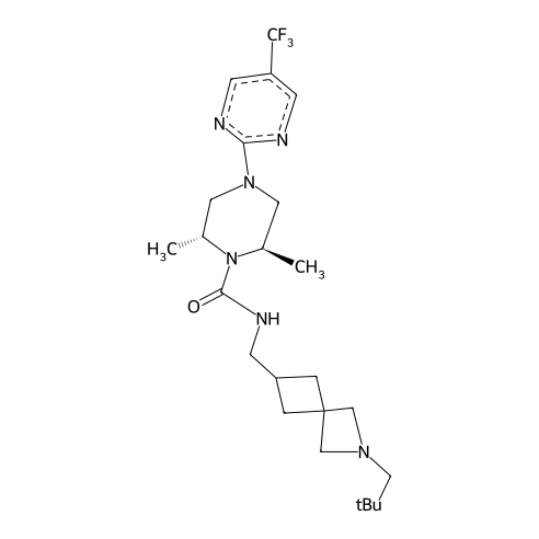 C[C@@H]1CN(c2ncc(C(F)(F)F)cn2)C[C@@H](C)N1C(=O)NCC1CC2(C1)CN(CC(C)(C)C)C2